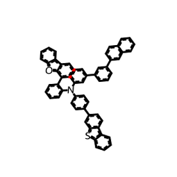 c1cc(-c2cccc(N(c3ccc(-c4ccc5c(c4)sc4ccccc45)cc3)c3ccccc3-c3cccc4c3oc3ccccc34)c2)cc(-c2ccc3ccccc3c2)c1